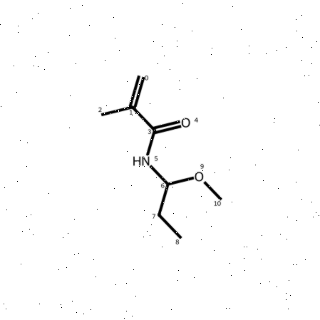 C=C(C)C(=O)NC(CC)OC